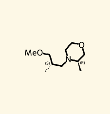 COC[C@@H](C)CN1CCOC[C@H]1C